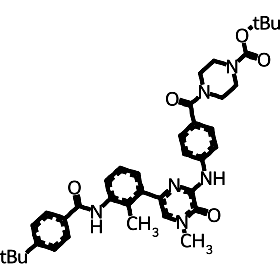 Cc1c(NC(=O)c2ccc(C(C)(C)C)cc2)cccc1-c1cn(C)c(=O)c(Nc2ccc(C(=O)N3CCN(C(=O)OC(C)(C)C)CC3)cc2)n1